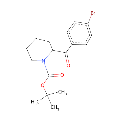 CC(C)(C)OC(=O)N1CCCCC1C(=O)c1ccc(Br)cc1